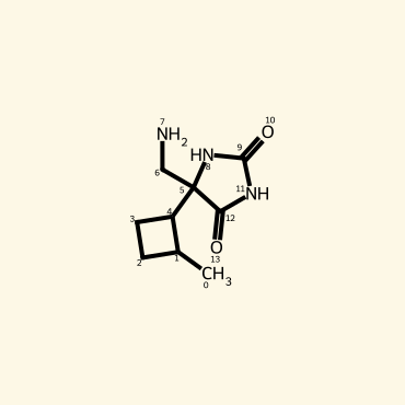 CC1CCC1C1(CN)NC(=O)NC1=O